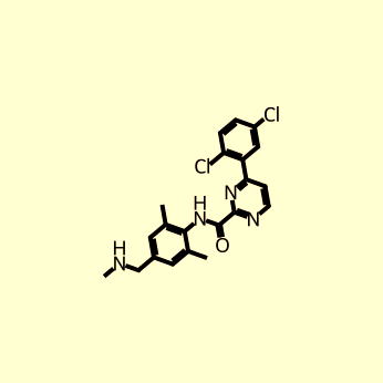 CNCc1cc(C)c(NC(=O)c2nccc(-c3cc(Cl)ccc3Cl)n2)c(C)c1